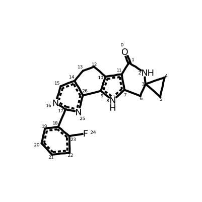 O=C1NC2(CC2)Cc2[nH]c3c(c21)CCc1cnc(-c2ccccc2F)nc1-3